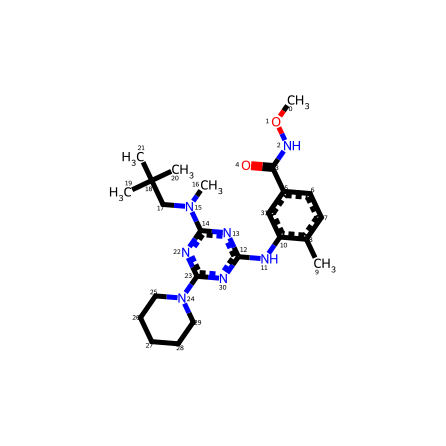 CONC(=O)c1ccc(C)c(Nc2nc(N(C)CC(C)(C)C)nc(N3CCCCC3)n2)c1